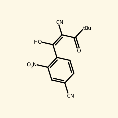 CC(C)(C)C(=O)C(C#N)=C(O)c1ccc(C#N)cc1[N+](=O)[O-]